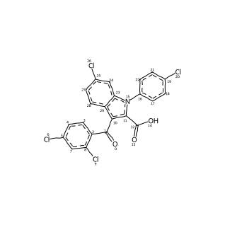 O=C(c1ccc(Cl)cc1Cl)c1c(C(=O)O)n(-c2ccc(Cl)cc2)c2cc(Cl)ccc12